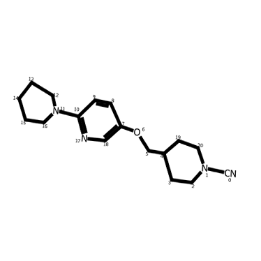 N#CN1CCC(COc2ccc(N3CCCCC3)nc2)CC1